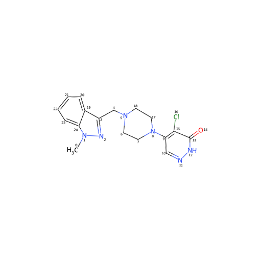 Cn1nc(CN2CCN(c3cn[nH]c(=O)c3Cl)CC2)c2ccccc21